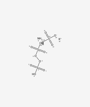 N.O=S(=O)(O)OOS(=O)(=O)O.O=S(=O)([O-])O.[K+]